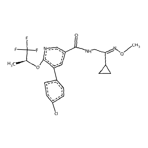 CO/N=C(/CNC(=O)c1cnc(O[C@@H](C)C(F)(F)F)c(-c2ccc(Cl)cc2)c1)C1CC1